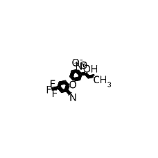 CCCC(O)c1cc(Oc2ccc(C(F)(F)F)cc2C#N)ccc1[N+](=O)[O-]